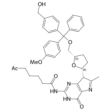 COc1ccc(C(OC[C@@H]2CC[C@H](C3C(C)=Nc4c3nc(NC(=O)CCCCC(C)=O)[nH]c4=O)O2)(c2ccccc2)c2ccc(CO)cc2)cc1